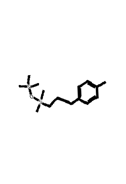 Cc1ccc(CCC[Si](C)(C)O[Si](C)(C)C)cc1